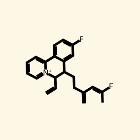 C=CC1C(CCC(=C)/C=C(\C)F)c2cc(F)ccc2-c2cccc[n+]21